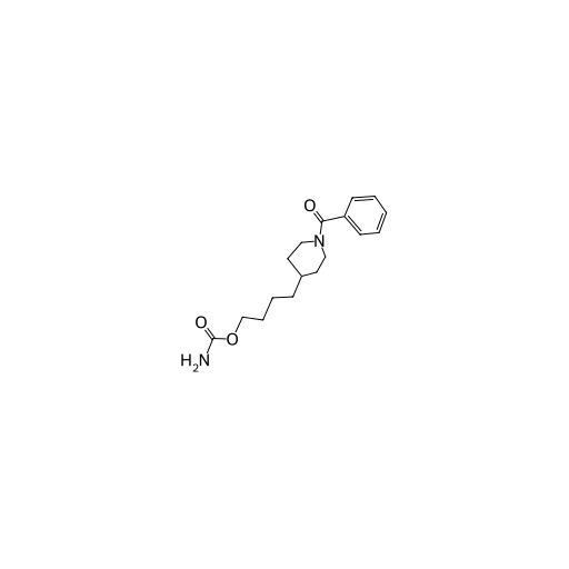 NC(=O)OCCCCC1CCN(C(=O)c2ccccc2)CC1